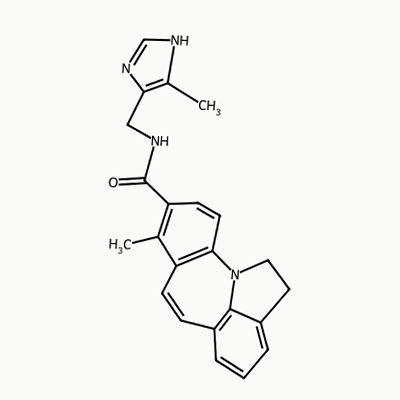 Cc1[nH]cnc1CNC(=O)c1ccc2c(c1C)C=Cc1cccc3c1N2CC3